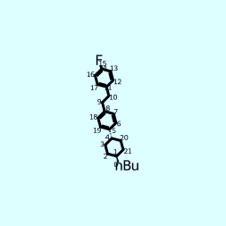 CCCC[C@H]1CC[C@H](c2ccc(CCc3ccc(F)cc3)cc2)CC1